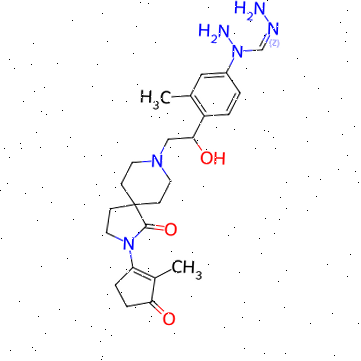 CC1=C(N2CCC3(CCN(CC(O)c4ccc(N(N)/C=N\N)cc4C)CC3)C2=O)CCC1=O